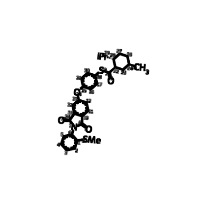 CSc1ccccc1N1C(=O)c2ccc(Oc3ccc(SC(=O)[C@@H]4C[C@H](C)CC[C@H]4C(C)C)cc3)cc2C1=O